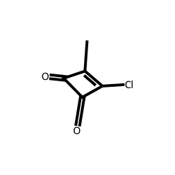 Cc1c(Cl)c(=O)c1=O